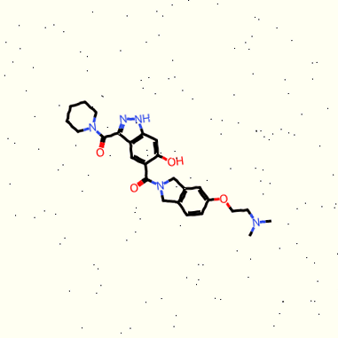 CN(C)CCOc1ccc2c(c1)CN(C(=O)c1cc3c(C(=O)N4CCCCC4)n[nH]c3cc1O)C2